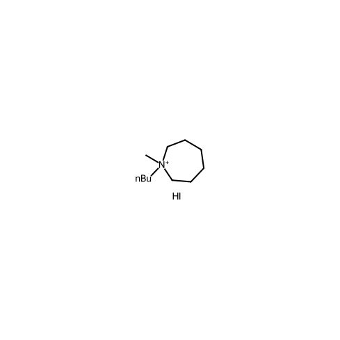 CCCC[N+]1(C)CCCCCC1.I